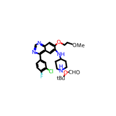 CC(C)(C)OC=O.COCCOc1cc2ncnc(-c3ccc(F)c(Cl)c3)c2cc1NC1CCNCC1